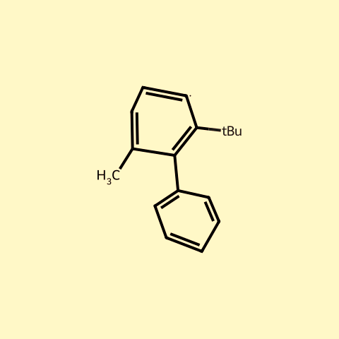 Cc1cc[c]c(C(C)(C)C)c1-c1ccccc1